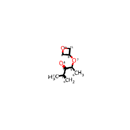 C=C(C)C(=O)C(C)OC1COC1